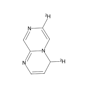 [2H]C1=CN2C(=NC=CC2[2H])C=N1